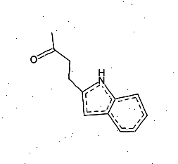 CC(=O)CCc1cc2ccccc2[nH]1